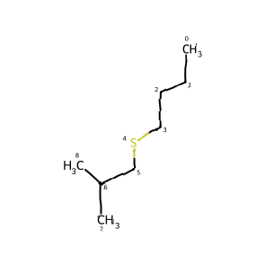 CCCCSCC(C)C